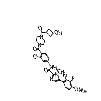 COc1ccc(-c2cnc(C(=O)Nc3ccc(C(=O)N4CCN(C(=O)C5CC(O)C5)CC4)c(Cl)c3)n2C)c(F)c1F